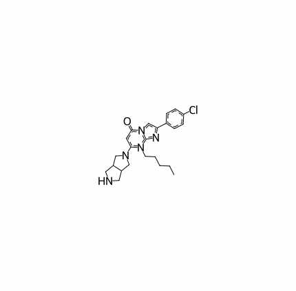 CCCCCn1c(N2CC3CNCC3C2)cc(=O)n2cc(-c3ccc(Cl)cc3)nc12